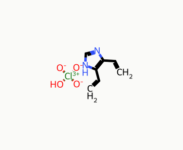 C=Cc1nc[nH]c1C=C.[O-][Cl+3]([O-])([O-])O